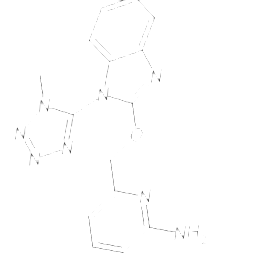 Cn1nnnc1-n1c(OCc2cccc(N)n2)nc2ccccc21